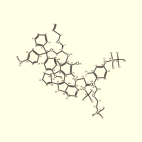 C=CCOC[C@H](COC(c1ccccc1)(c1ccc(OC)cc1)c1ccc(OC)cc1)Oc1c(Cl)c(C)c(-c2c(C3=CCCC3)sc3ncnc(O[C@H](Cc4cc(O[Si](C)(C)C(C)(C)C)ccc4OCOCC[Si](C)(C)C)C(=O)OC(C)(C)C)c23)c(C)c1Cl